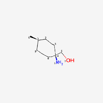 C[C@H]1CC[C@](N)(CO)CC1